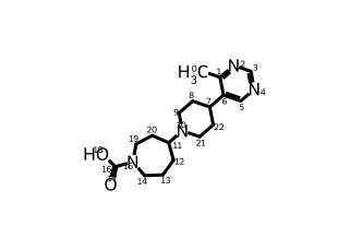 Cc1ncncc1C1CCN(C2CCCN(C(=O)O)CC2)CC1